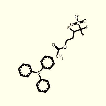 CC(=O)OCCC(F)C(F)(F)S(=O)(=O)[O-].c1ccc([S+](c2ccccc2)c2ccccc2)cc1